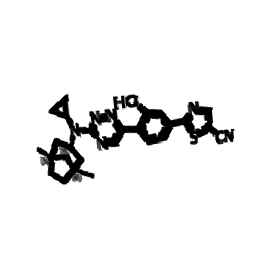 C[C@]12CC[C@](C)(C[C@@H](N(c3ncc(-c4ccc(-c5ncc(C#N)s5)cc4O)nn3)C3CC3)C1)C2